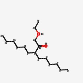 CCCCCCC(CCCCCC)C(=O)COCC